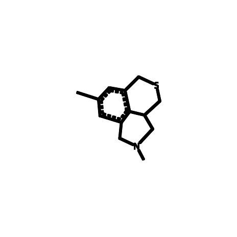 Cc1cc2c3c(c1)CN(C)CC3CSC2